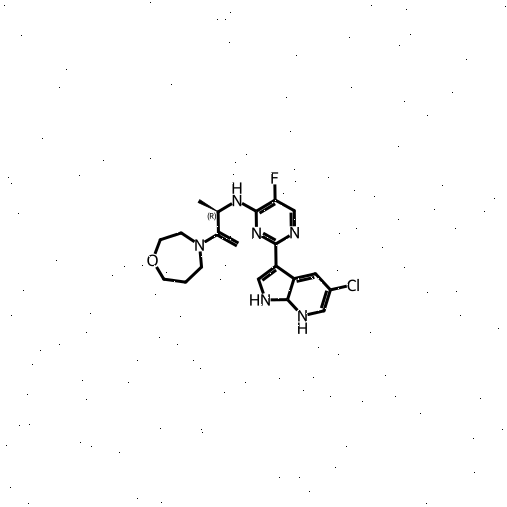 C=C([C@@H](C)Nc1nc(C2=CNC3NC=C(Cl)C=C23)ncc1F)N1CCCOCC1